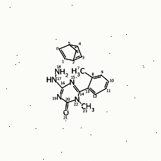 C1=CC2=CC=C1C2.Cc1ccccc1-c1nc(NN)nc(=O)n1C